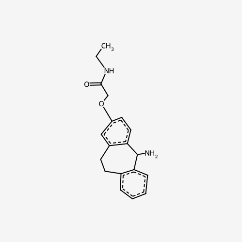 CCNC(=O)COc1ccc2c(c1)CCc1ccccc1C2N